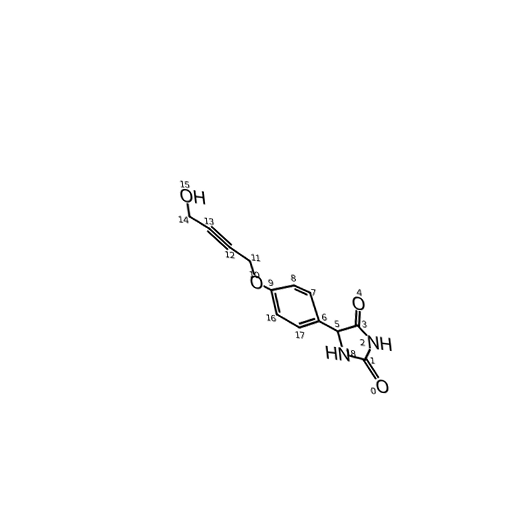 O=C1NC(=O)C(c2ccc(OCC#CCO)cc2)N1